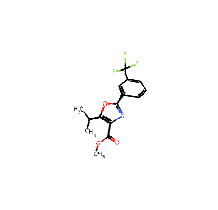 COC(=O)c1nc(-c2cccc(C(F)(F)F)c2)oc1C(C)C